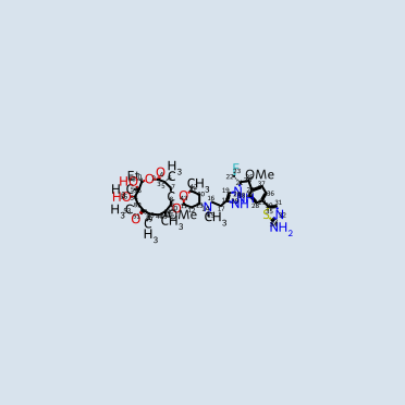 CC[C@H]1OC(=O)[C@H](C)CC[C@@H](O[C@H]2C[C@@H](N(C)CCC3=CN([C@H](CF)[C@H](OC)c4ccc(-c5cnc(N)s5)cc4)NN3)C[C@@H](C)O2)[C@](C)(OC)C[C@@H](C)C(=O)[C@H](C)[C@@H](O)[C@]1(C)O